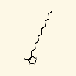 CCCCCCCCCCCCC1=C(C)P=P[N]1